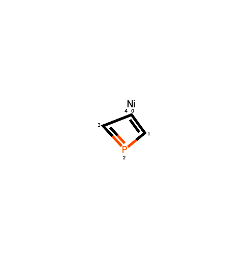 C1=CP=C1.[Ni]